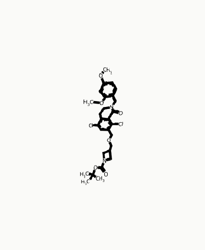 COc1ccc(CN2CCc3c(Cl)cc(COCC4CN(C(=O)OC(C)(C)C)C4)c(Cl)c3C2=O)c(OC)c1